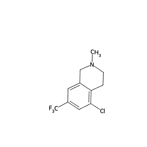 CN1CCc2c(Cl)cc(C(F)(F)F)cc2C1